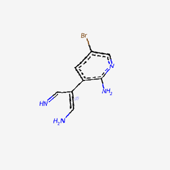 N=C/C(=C\N)c1cc(Br)cnc1N